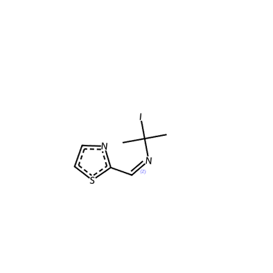 CC(C)(I)/N=C\c1nccs1